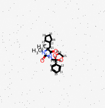 CN1C(=O)N(CC2(c3ccccc3)OCCO2)C(=O)C1(C)CC1CCCC1